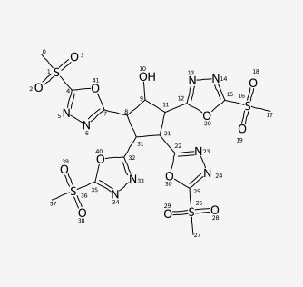 CS(=O)(=O)c1nnc(C2C(O)C(c3nnc(S(C)(=O)=O)o3)C(c3nnc(S(C)(=O)=O)o3)C2c2nnc(S(C)(=O)=O)o2)o1